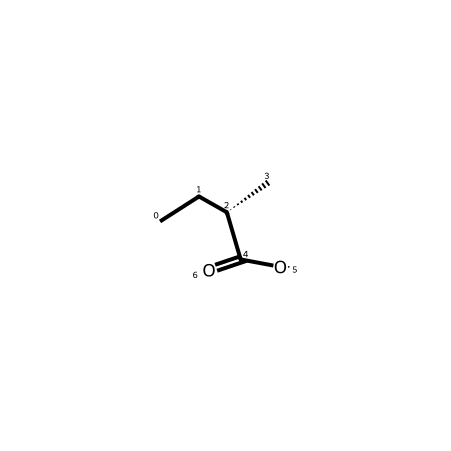 CC[C@H](C)C([O])=O